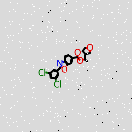 CC(OC(=O)c1ccc2nc(-c3cc(Cl)cc(Cl)c3)oc2c1)C1CCOC1